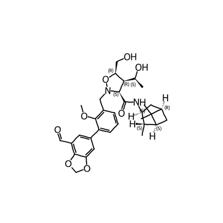 COc1c(CN2O[C@@H](CO)[C@@H]([C@H](C)O)[C@H]2C(=O)N[C@H]2C[C@H]3C[C@@H]([C@@H]2C)C3(C)C)cccc1-c1cc(C=O)c2c(c1)OCO2